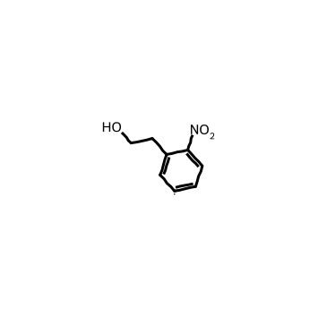 O=[N+]([O-])c1cc[c]cc1CCO